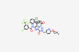 COc1ccc(CNC(=O)c2nc(NC(=O)c3cc(F)cc(C(F)(F)F)c3)c([C@@H](C)c3cc(F)ccc3Cl)n2CC(C)=O)cn1